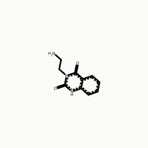 NCCn1c(=O)[nH]c2ccccc2c1=O